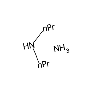 CCCNCCC.N